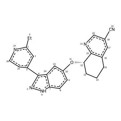 CCc1cc(-c2n[nH]c3ccc(O[C@H]4CCCc5cc(C#N)cnc54)cc23)ccn1